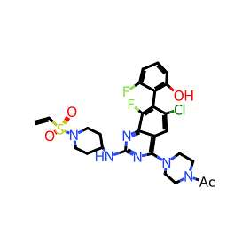 C=CS(=O)(=O)N1CCC(Nc2nc(N3CCN(C(C)=O)CC3)c3cc(Cl)c(-c4c(O)cccc4F)c(F)c3n2)CC1